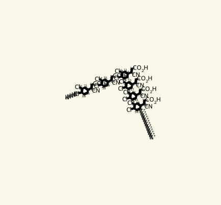 N#CC(=CC(=O)O)c1ccc(Cl)c(Cl)c1.N#CC(=CC(=O)O)c1ccc(Cl)c(Cl)c1.N#CC(=CC(=O)O)c1ccc(Cl)c(Cl)c1.N#CC(=CC(=O)O)c1ccc(Cl)c(Cl)c1.N#CC(=CC(=O)O)c1ccc(Cl)c(Cl)c1.N#CC(=CC(=O)O)c1ccc(Cl)c(Cl)c1.[K+].[K+].[K+].[K+].[K+].[K+].[K+].[K+].[K+].[K+].[K+].[K+].[K+].[K+].[K+].[K+].[K+].[K+]